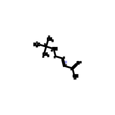 CC(C)(C)NC/C=C/C(=O)O